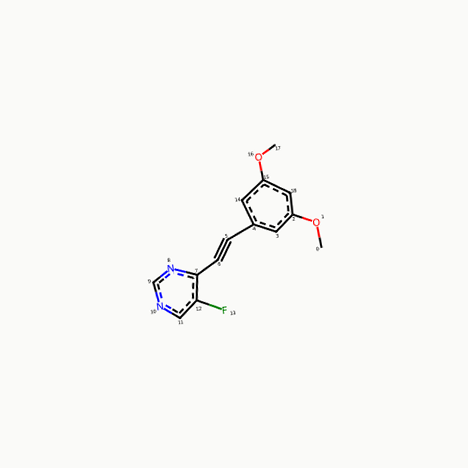 COc1cc(C#Cc2ncncc2F)cc(OC)c1